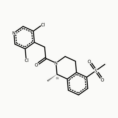 C[C@H]1c2cccc(S(C)(=O)=O)c2CCN1C(=O)Cc1c(Cl)cncc1Cl